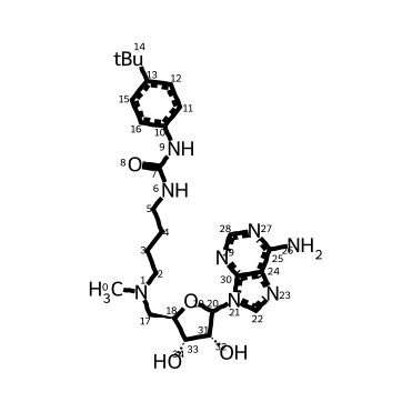 CN(CCCCNC(=O)Nc1ccc(C(C)(C)C)cc1)C[C@H]1OC(n2cnc3c(N)ncnc32)[C@H](O)[C@@H]1O